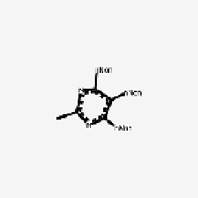 CCCCCCCCCc1nc(C)nc(CCCCCCCCC)c1CCCCCCCCC